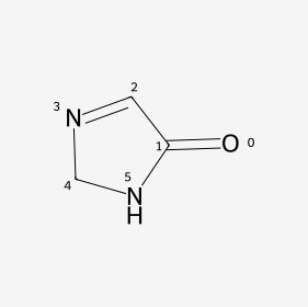 O=C1C=NCN1